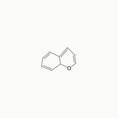 [C]1=COC2C=CC=CC2=C1